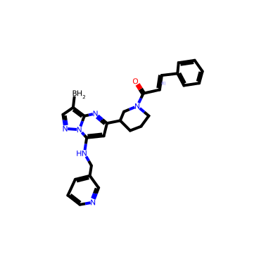 Bc1cnn2c(NCc3cccnc3)cc(C3CCCN(C(=O)/C=C/c4ccccc4)C3)nc12